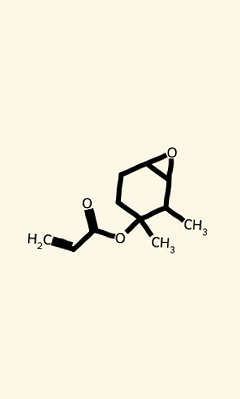 C=CC(=O)OC1(C)CCC2OC2C1C